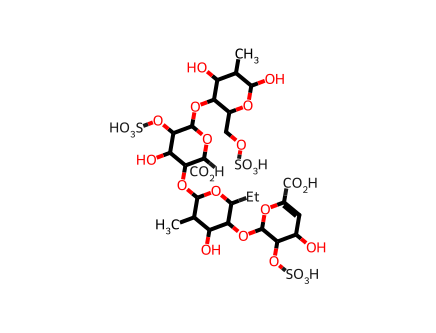 CCC1OC(OC2C(C(=O)O)OC(OC3C(COS(=O)(=O)O)OC(O)C(C)C3O)C(OS(=O)(=O)O)C2O)C(C)C(O)C1OC1OC(C(=O)O)=CC(O)C1OS(=O)(=O)O